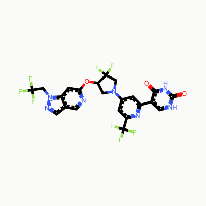 O=c1[nH]cc(-c2cc(N3CC(Oc4cc5c(cn4)cnn5CC(F)(F)F)C(F)(F)C3)cc(C(F)(F)F)n2)c(=O)[nH]1